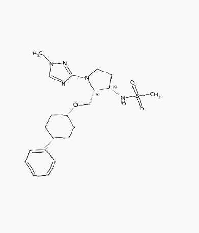 Cn1cnc(N2CC[C@H](NS(C)(=O)=O)[C@@H]2CO[C@H]2CC[C@@H](c3ccccc3)CC2)n1